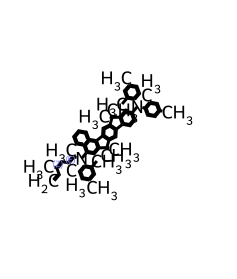 C=C/C(C)=C\C(C)=C(/C)N(c1ccc(C)cc1C)c1cc2c(c3ccccc13)-c1cc3c(cc1C2(C)C)-c1ccc(N(c2ccc(C)cc2C)c2ccc(C)cc2C)cc1C3(C)C